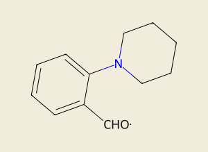 O=[C]c1ccccc1N1CCCCC1